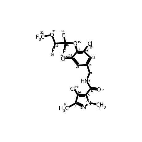 Cc1nn(C)c(C(=O)NCc2cc(Cl)c(OC(F)(F)C(F)OC(F)(F)F)c(Cl)c2)c1Cl